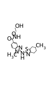 CC1CCc2nc(Nc3nc4cc(C(=O)NOCCO)ccc4n3C)sc2C1